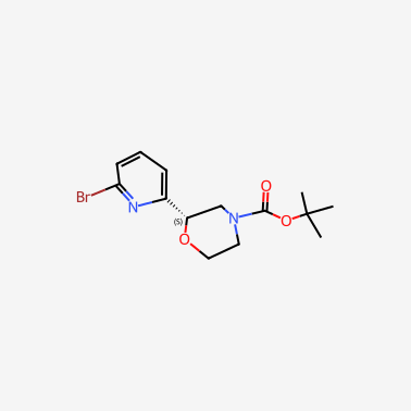 CC(C)(C)OC(=O)N1CCO[C@H](c2cccc(Br)n2)C1